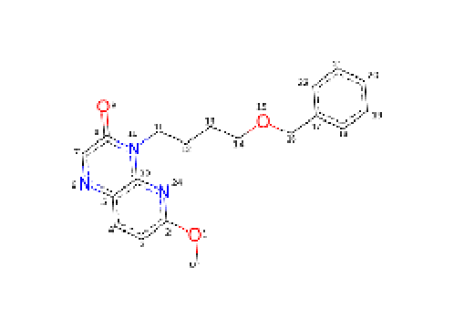 COc1ccc2ncc(=O)n(CCCCOCc3ccccc3)c2n1